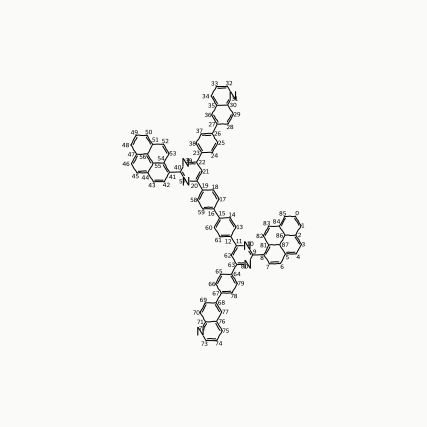 C1=CC2=CC=C3C=CC(c4nc(-c5ccc(-c6ccc(-c7cc(-c8ccc(-c9ccc%10ncccc%10c9)cc8)nc(-c8ccc9ccc%10cccc%11ccc8c9c%10%11)n7)cc6)cc5)cc(-c5ccc(-c6ccc7ncccc7c6)cc5)n4)=C4C=CC(=C1)C2C34